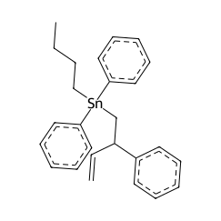 C=CC([CH2][Sn]([CH2]CCC)([c]1ccccc1)[c]1ccccc1)c1ccccc1